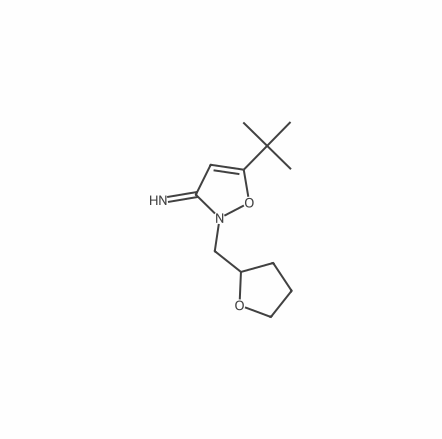 CC(C)(C)c1cc(=N)n(CC2CCCO2)o1